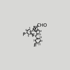 O=Cc1nn(-c2ccc(F)cc2F)c2c1CCC2Cc1cccc(F)c1